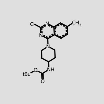 Cc1ccc2c(N3CCC(NC(=O)OC(C)(C)C)CC3)nc(Cl)nc2c1